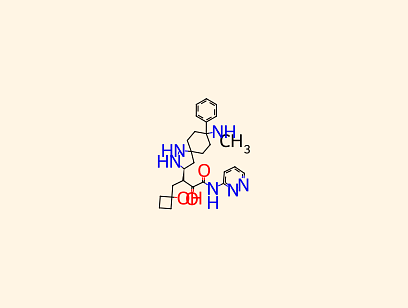 CNC1(c2ccccc2)CCC2(CC1)C[C@@H](C(CC1(O)CCC1)C(=O)C(=O)Nc1cccnn1)NN2